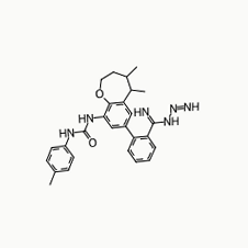 Cc1ccc(NC(=O)Nc2cc(-c3ccccc3C(=N)NN=N)cc3c2OCCC(C)C3C)cc1